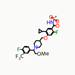 COCC(c1ccc(F)c(C(F)(F)F)c1)N1CCC(COc2cc(F)c(C(=O)NS(C)(=O)=O)cc2C2CC2)CC1